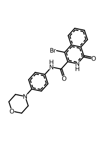 O=C(Nc1ccc(N2CCOCC2)cc1)c1[nH]c(=O)c2ccccc2c1Br